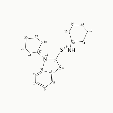 c1ccc2c(c1)SC(SNC1CCCCC1)N2C1CCCCC1